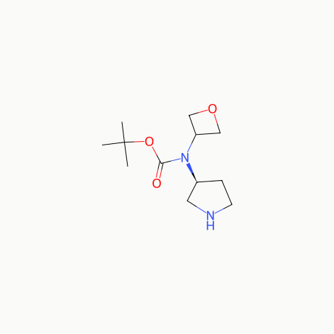 CC(C)(C)OC(=O)N(C1COC1)[C@H]1CCNC1